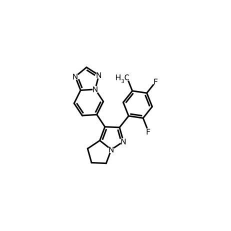 Cc1cc(-c2nn3c(c2-c2ccc4ncnn4c2)CCC3)c(F)cc1F